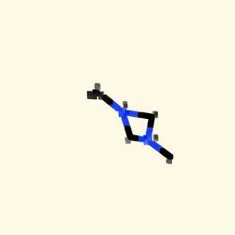 CCCN1CN(C)C1